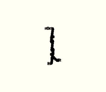 CC/C=C\CCCCOC(CCC(=O)OCCC1CCN(CCSSCCN2CCC(CCOC(=O)CCCCCCC/C=C\CCCCCCCC)CC2)CC1)OCCCC/C=C\CC